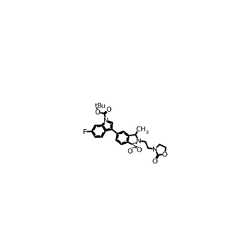 CC1c2cc(-c3cn(C(=O)OC(C)(C)C)c4cc(F)ccc34)ccc2S(=O)(=O)N1CCN1CCOC1=O